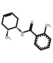 Cc1ccccc1C(=O)N[C@@H]1CC=CC[C@@H]1C